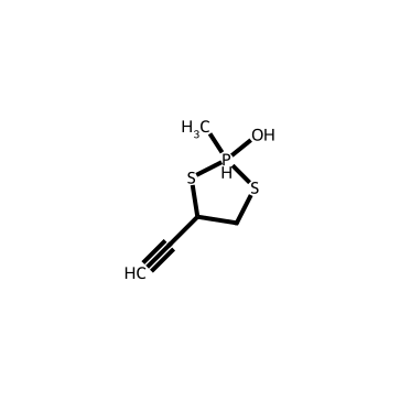 C#CC1CS[PH](C)(O)S1